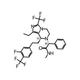 CCc1nc(C(F)(F)F)n2c1[C@H](CCc1ccc(C(F)(F)F)c(F)c1)N([C@@H](C(=O)NC)c1ccccc1)CC2